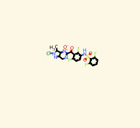 CC1C2=[N+]([O-])C(C(=O)c3c(F)ccc(NS(=O)(=O)c4c(F)cccc4F)c3F)=NCC2=NN1Cl